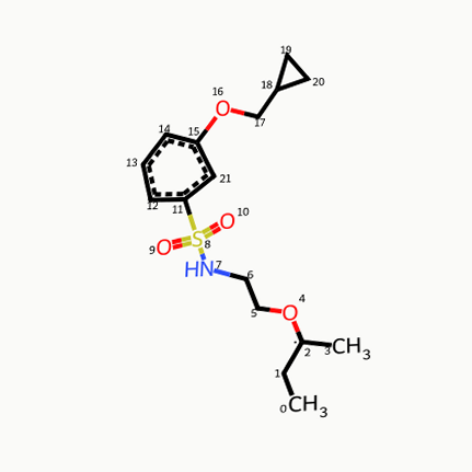 CC[C](C)OCCNS(=O)(=O)c1cccc(OCC2CC2)c1